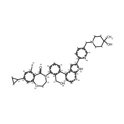 CC1(O)CCN(Cc2ccc(-c3cc4c(-c5cccc(N6CCOc7cc(C8CC8)cc(F)c7C6=O)c5CO)ccnc4[nH]3)nc2)CC1